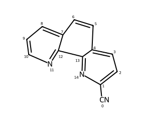 N#Cc1ccc2ccc3cccnc3c2n1